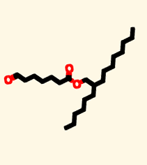 CCCCCCCCC(CCCCCC)COC(=O)CCCCCC=O